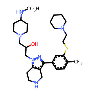 O=C(O)NC1CCN(CC(O)Cn2nc(-c3ccc(C(F)(F)F)c(SCCN4CCCCC4)c3)c3c2CCNC3)CC1